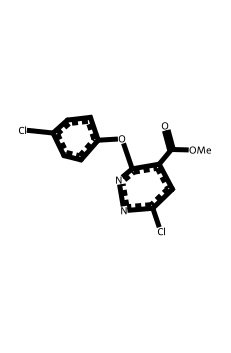 COC(=O)c1cc(Cl)nnc1Oc1ccc(Cl)cc1